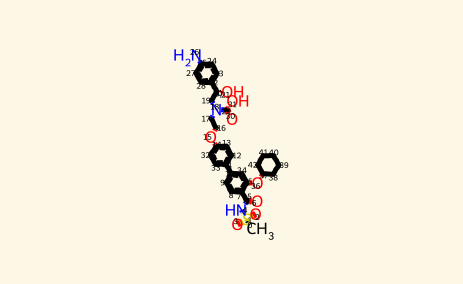 CS(=O)(=O)NC(=O)c1ccc(-c2ccc(OCCN(C[C@@H](O)c3ccc(N)cc3)C(=O)O)cc2)cc1OC1CCCCC1